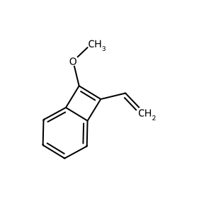 C=CC1=C(OC)c2ccccc21